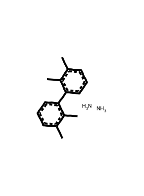 Cc1cccc(-c2cccc(C)c2C)c1C.N.N